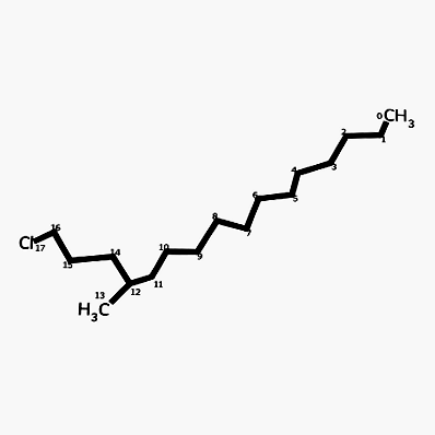 CCCCCCCCCCCCC(C)CCCCl